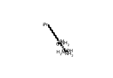 CC(C)CCCCCCCCCCCCNC(=O)C(N)CSSCC(N)C(N)O